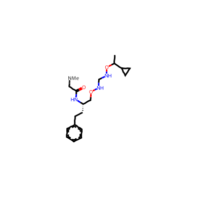 CNCC(=O)N[C@@H](CCc1ccccc1)CONCNOC(C)C1CC1